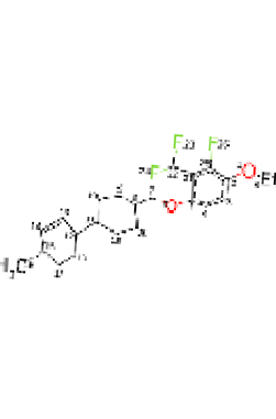 CCOc1ccc(OCC2CCC(C3C=CC(C)CC3)CC2)c(C(F)F)c1F